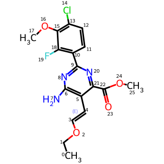 CCO/C=C/c1c(N)nc(-c2ccc(Cl)c(OC)c2F)nc1C(=O)OC